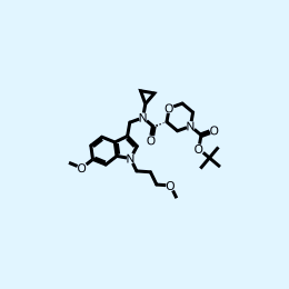 COCCCn1cc(CN(C(=O)[C@H]2CN(C(=O)OC(C)(C)C)CCO2)C2CC2)c2ccc(OC)cc21